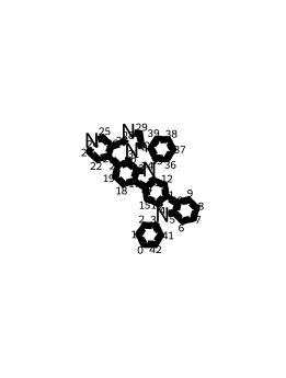 c1ccc(-n2c3ccccc3c3cc4c(cc32)c2ccc3c5ccncc5c5nccn5c3c2n4-c2ccccc2)cc1